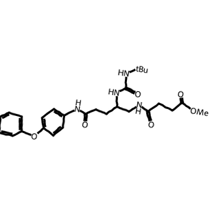 COC(=O)CCC(=O)NCC(CCC(=O)Nc1ccc(Oc2ccccc2)cc1)NC(=O)NC(C)(C)C